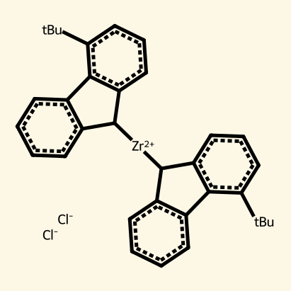 CC(C)(C)c1cccc2c1-c1ccccc1[CH]2[Zr+2][CH]1c2ccccc2-c2c1cccc2C(C)(C)C.[Cl-].[Cl-]